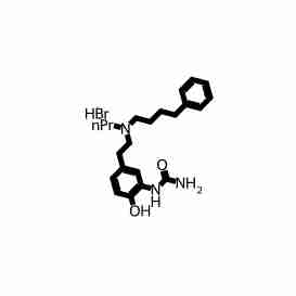 Br.CCCN(CCCCc1ccccc1)CCc1ccc(O)c(NC(N)=O)c1